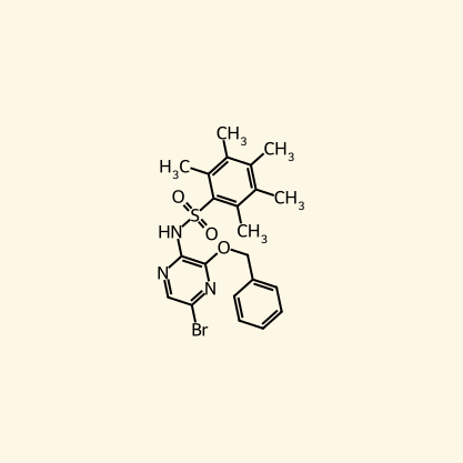 Cc1c(C)c(C)c(S(=O)(=O)Nc2ncc(Br)nc2OCc2ccccc2)c(C)c1C